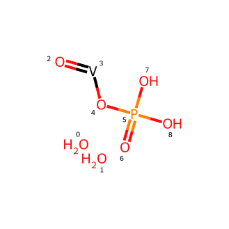 O.O.[O]=[V][O]P(=O)(O)O